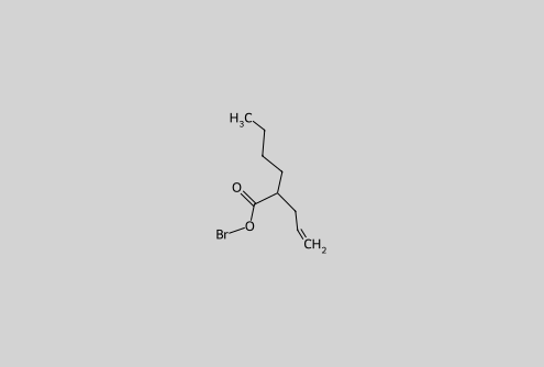 C=CCC(CCCC)C(=O)OBr